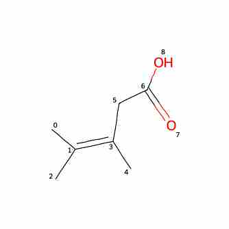 CC(C)=C(C)CC(=O)O